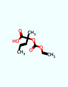 C=COC(=O)OC(C)(C=CC)C(=O)O